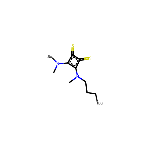 CN(CCCC(C)(C)C)c1c(N(C)C(C)(C)C)c(=S)c1=S